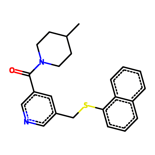 CC1CCN(C(=O)c2cncc(CSc3cccc4ccccc34)c2)CC1